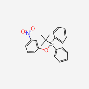 CC(C)(C)[Si](Oc1cccc([N+](=O)[O-])c1)(c1ccccc1)c1ccccc1